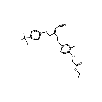 CCOC(=O)COc1ccc(SC/C(=C\C#N)COc2ccc(C(F)(F)F)cc2)cc1C